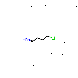 N=CCCCCl